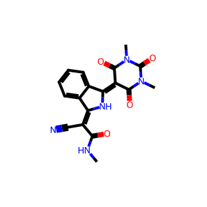 CNC(=O)/C(C#N)=c1\[nH]c(=C2C(=O)N(C)C(=O)N(C)C2=O)c2ccccc12